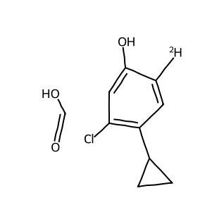 O=CO.[2H]c1cc(C2CC2)c(Cl)cc1O